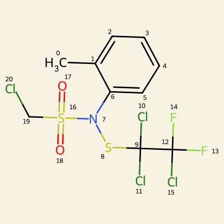 Cc1ccccc1N(SC(Cl)(Cl)C(F)(F)Cl)S(=O)(=O)CCl